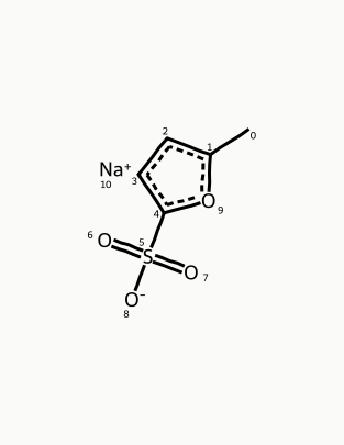 Cc1ccc(S(=O)(=O)[O-])o1.[Na+]